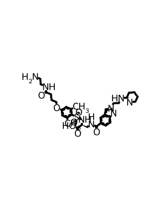 Cc1cc(OCCCC(=O)NCCN)cc(C)c1S(=O)(=O)N[C@@H](CNC(=O)c1ccc2nn(CCNC3=NCCCC3)cc2c1)C(=O)O